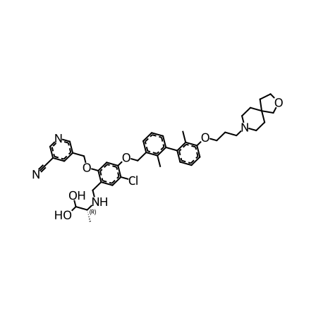 Cc1c(COc2cc(OCc3cncc(C#N)c3)c(CN[C@H](C)C(O)O)cc2Cl)cccc1-c1cccc(OCCCN2CCC3(CCOC3)CC2)c1C